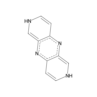 C1=Cc2nc3c(nc2=CN1)C=CNC=3